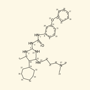 CC1NC(NC(=O)Nc2cccc(Oc3ccccc3)c2)NC(NCCCN(C)C)C1C1CCCCCC1